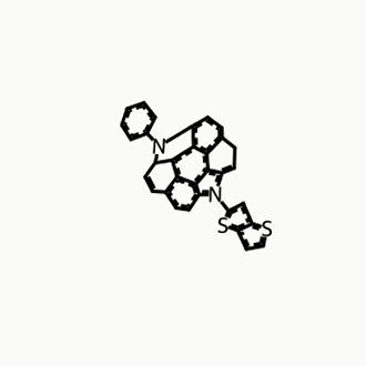 C1=CC2c3c4c(ccc5c4c4c(n(-c6cc7sccc7s6)c6ccc1c3c46)=CC5)N2c1ccccc1